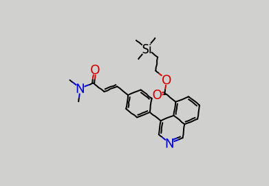 CN(C)C(=O)/C=C/c1ccc(-c2cncc3cccc(C(=O)OCC[Si](C)(C)C)c23)cc1